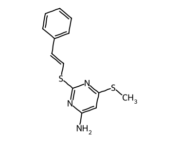 CSc1cc(N)nc(SC=Cc2ccccc2)n1